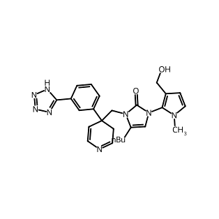 CCCCc1cn(-c2c(CO)ccn2C)c(=O)n1CC1(c2cccc(-c3nnn[nH]3)c2)C=CN=CC1